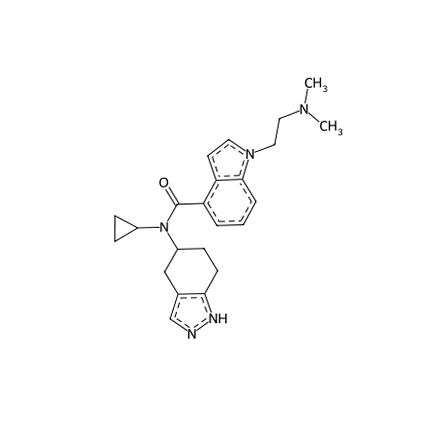 CN(C)CCn1ccc2c(C(=O)N(C3CC3)C3CCc4[nH]ncc4C3)cccc21